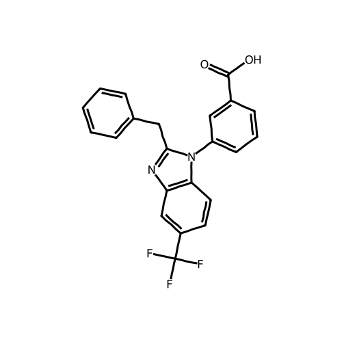 O=C(O)c1cccc(-n2c(Cc3ccccc3)nc3cc(C(F)(F)F)ccc32)c1